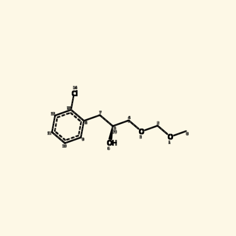 COCO[CH][C@@H](O)Cc1ccccc1Cl